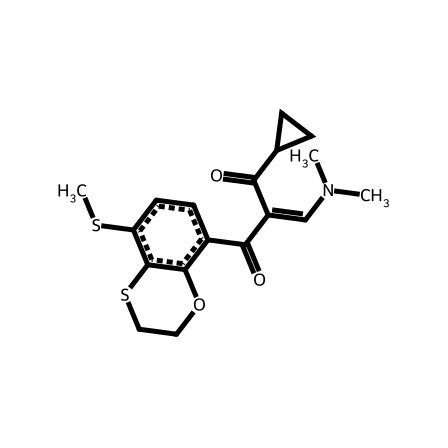 CSc1ccc(C(=O)C(=CN(C)C)C(=O)C2CC2)c2c1SCCO2